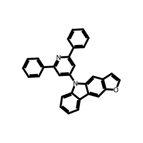 c1ccc(-c2cc(-n3c4ccccc4c4cc5occc5cc43)cc(-c3ccccc3)n2)cc1